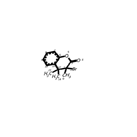 CC1(Br)C(=O)Oc2ccccc2C1(C)C